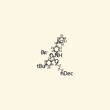 CCCCCCCCCCCCCCOC(C(=O)Nc1ccc(C[n+]2ccccc2)cc1)c1ccc(C(C)(C)C)cc1.[Br-]